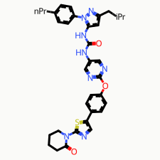 CCCc1ccc(-n2nc(CC(C)C)cc2NC(=O)Nc2cnc(Oc3ccc(-c4cnc(N5CCCCC5=O)s4)cc3)nc2)cc1